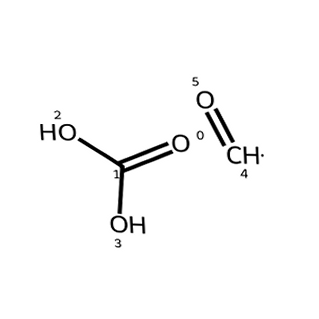 O=C(O)O.[CH]=O